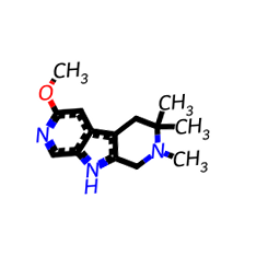 COc1cc2c3c([nH]c2cn1)CN(C)C(C)(C)C3